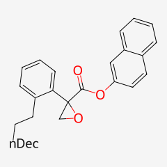 CCCCCCCCCCCCc1ccccc1C1(C(=O)Oc2ccc3ccccc3c2)CO1